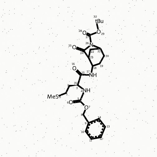 CSCC[C@H](NC(=O)OCc1ccccc1)C(=O)NC1CCC2CC1C(=O)N2C(=O)OC(C)(C)C